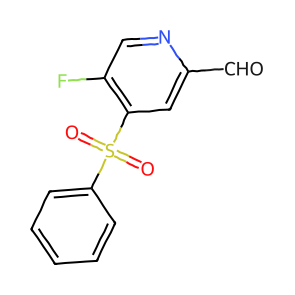 O=Cc1cc(S(=O)(=O)c2ccccc2)c(F)cn1